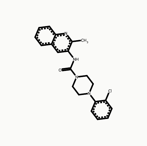 Cc1nc2ccccc2cc1NC(=O)N1CCN(c2ccccc2Cl)CC1